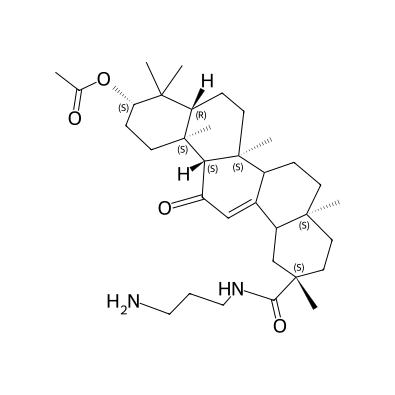 CC(=O)O[C@H]1CC[C@]2(C)[C@H]3C(=O)C=C4C5C[C@@](C)(C(=O)NCCCN)CC[C@]5(C)CCC4[C@]3(C)CC[C@H]2C1(C)C